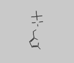 CC(C)(C)[Si](C)(C)OCc1ccc(Br)s1